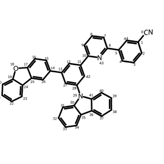 N#Cc1cccc(-c2cccc(-c3cc(-c4ccc5oc6ccccc6c5c4)cc(-n4c5ccccc5c5ccccc54)c3)n2)c1